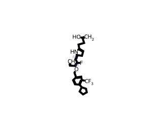 C=C/C(OCc1ccc(C2CCCC2)c(C(F)(F)F)c1)=C(F)\C=C1/CC=C(CCC(=C)O)N1